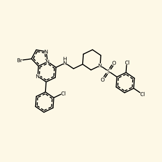 O=S(=O)(c1ccc(Cl)cc1Cl)N1CCCC(CNc2cc(-c3ccccc3Cl)nc3c(Br)cnn23)C1